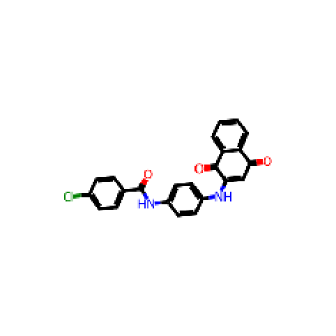 O=C(Nc1ccc(NC2=CC(=O)c3ccccc3C2=O)cc1)c1ccc(Cl)cc1